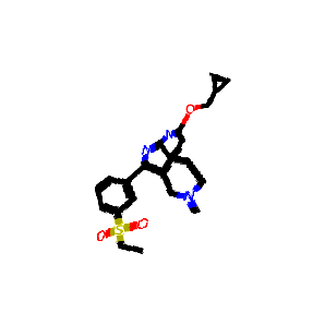 CCS(=O)(=O)c1cccc(C2=C3CN(C)C=CC34CCC(OCC3CC3)=NC4=N2)c1